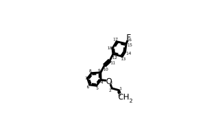 C=CCOc1ccccc1C#Cc1ccc(F)cc1